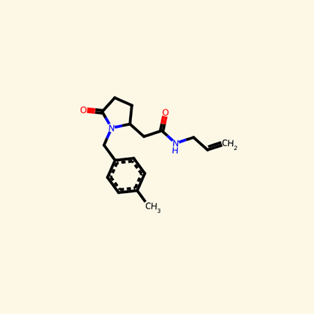 C=CCNC(=O)CC1CCC(=O)N1Cc1ccc(C)cc1